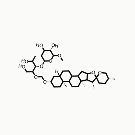 COC1O[C@@H](O[C@@H](C(C)O)C(CO)OCO[C@H]2CC[C@]3(C)C4CC[C@@]5(C)C(CC6OC7(CC[C@@H](C)CO7)[C@H](C)C65)C4CC[C@H]3C2)CC(O)[C@@H]1O